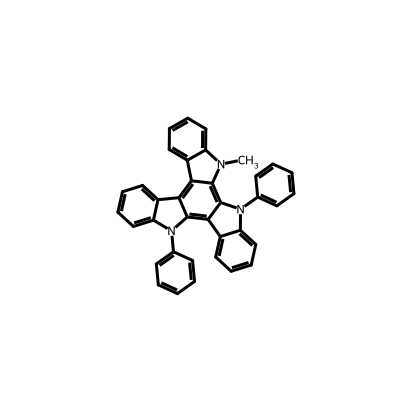 Cn1c2ccccc2c2c3c4ccccc4n(-c4ccccc4)c3c3c4ccccc4n(-c4ccccc4)c3c21